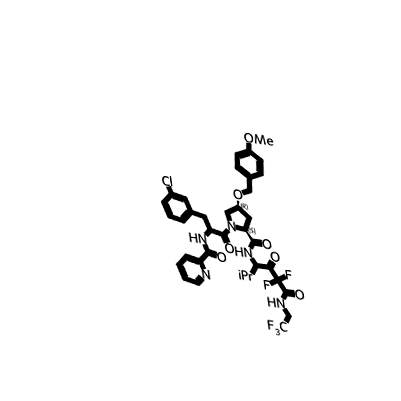 COc1ccc(CO[C@@H]2C[C@@H](C(=O)NC(C(=O)C(F)(F)C(=O)NCC(F)(F)F)C(C)C)N(C(=O)C(Cc3cccc(Cl)c3)NC(=O)c3ccccn3)C2)cc1